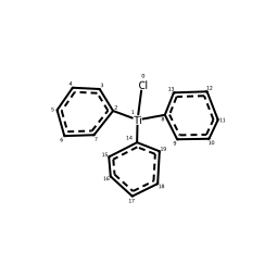 [Cl][Ti]([c]1ccccc1)([c]1ccccc1)[c]1ccccc1